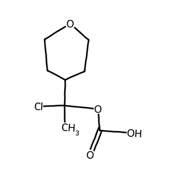 CC(Cl)(OC(=O)O)C1CCOCC1